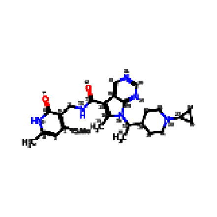 CSc1cc(C)[nH]c(=O)c1CNC(=O)c1c(C)n(C(C)C2CCN(C3CC3)CC2)c2ncncc12